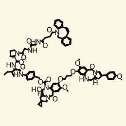 CCC(C)[C@H](NC(=O)[C@H]1CCCN1C(=O)CNC(=O)CNC(=O)CCC(=O)N1Cc2ccccc2C#Cc2ccccc21)C(=O)Nc1ccc(COC(=O)N2c3cc(OCCCOc4cc5c(cc4OC)C(=O)N4C=C(c6ccc(OC)cc6)C[C@H]4CN5)c(OC)cc3C(=O)N3CC4(CC4)C[C@H]3C2O)cc1